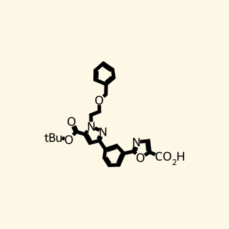 CC(C)(C)OC(=O)c1cc(-c2cccc(-c3ncc(C(=O)O)o3)c2)nn1CCOCc1ccccc1